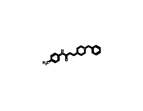 Cc1ccc(NC(=O)CCN2CCN(Cc3ccccc3)CC2)cc1